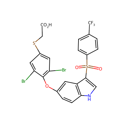 O=C(O)CSc1cc(Br)c(Oc2ccc3[nH]cc(S(=O)(=O)c4ccc(C(F)(F)F)cc4)c3c2)c(Br)c1